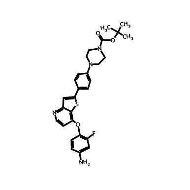 CC(C)(C)OC(=O)N1CCN(c2ccc(-c3cc4nccc(Oc5ccc(N)cc5F)c4s3)cc2)CC1